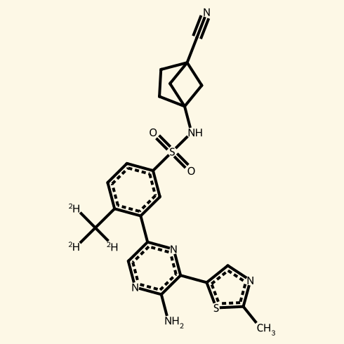 [2H]C([2H])([2H])c1ccc(S(=O)(=O)NC23CCC(C#N)(C2)C3)cc1-c1cnc(N)c(-c2cnc(C)s2)n1